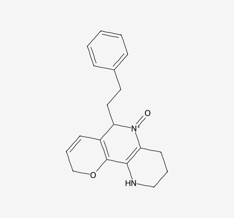 O=[N+]1C2=C(NCCC2)C2=C(C=CCO2)C1CCc1ccccc1